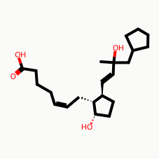 CC(O)(/C=C/[C@H]1CC[C@H](O)[C@@H]1C/C=C\CCCC(=O)O)CC1CCCC1